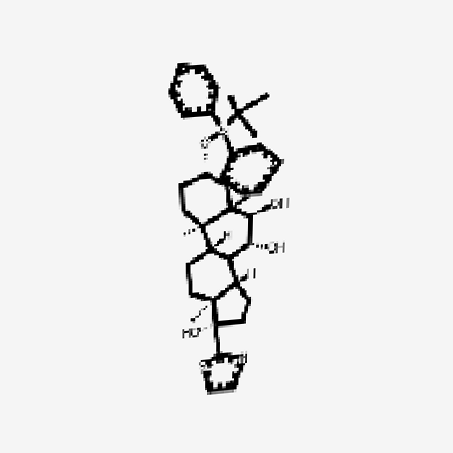 CC(C)(C)[Si](O[C@H]1CC[C@@]2(C)[C@H](C1)[C@@H](O)[C@H](O)C1[C@@H]2CC[C@@]2(C)[C@H]1CC[C@@]2(O)c1nccs1)(c1ccccc1)c1ccccc1